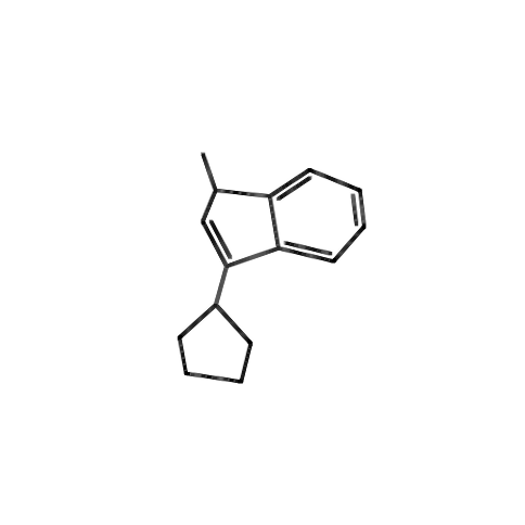 CC1C=C(C2CCCC2)c2ccccc21